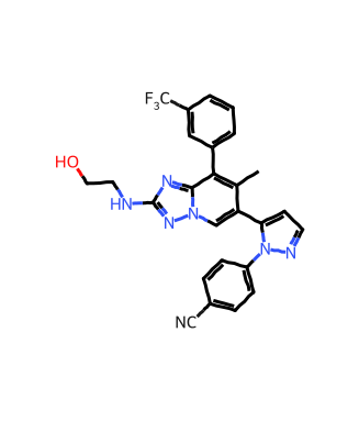 Cc1c(-c2ccnn2-c2ccc(C#N)cc2)cn2nc(NCCO)nc2c1-c1cccc(C(F)(F)F)c1